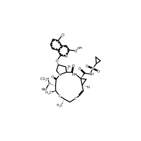 CCCOc1cc2c(Cl)cccc2c(O[C@@H]2C[C@H]3C(=O)N[C@]4(C(=O)NS(=O)(=O)C5CC5)C[C@H]4/C=C\CC[C@H](C)C[C@@H](C)[C@H](N(C(=O)O)C(C)(C)C)C(=O)N3C2)n1